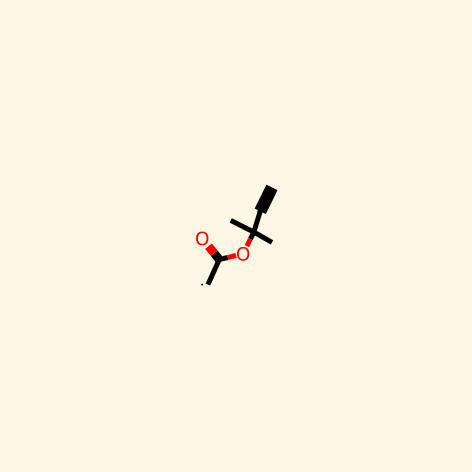 C#CC(C)(C)OC([CH2])=O